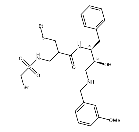 CCSCC(CNS(=O)(=O)CC(C)C)C(=O)N[C@@H](Cc1ccccc1)[C@@H](O)CNCc1cccc(OC)c1